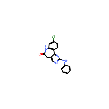 O=C1Cc2cnc(Nc3ccccc3)nc2-c2ccc(Cl)cc2N1